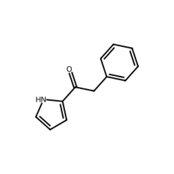 O=C(Cc1ccccc1)c1ccc[nH]1